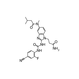 CC(C)CC(=O)N(C)c1ccc2c(c1)nc(NC(=O)Nc1ccc(C#N)cc1F)n2CCC(N)=O